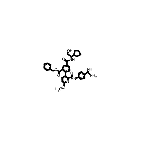 COc1ccc(-c2ccc(C(=O)NC(CO)C3CCCC3)cc2C(=O)OCc2ccccc2)c(C(=O)Nc2ccc(C(=N)N)cc2)n1